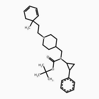 CC1(CCN2CCC(CN(C(=O)OC(C)(C)C)C3CC3c3ccccc3)CC2)C=CC=CC1